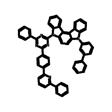 c1ccc(-c2cccc(-n3c4ccccc4c4c5c6ccccc6n(-c6nc(-c7ccccc7)nc(-c7ccc(-c8cccc(-c9ccccc9)n8)cc7)n6)c5ccc43)c2)cc1